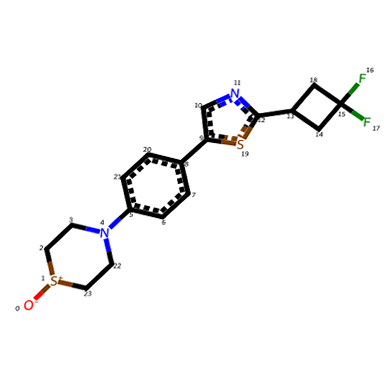 [O-][S+]1CCN(c2ccc(-c3cnc(C4CC(F)(F)C4)s3)cc2)CC1